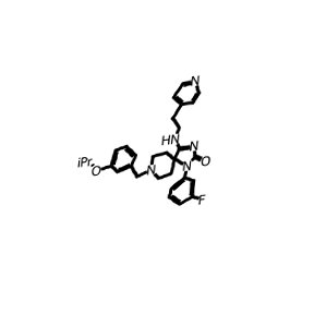 CC(C)Oc1cccc(CN2CCC3(CC2)C(NCCc2ccncc2)=NC(=O)N3c2cccc(F)c2)c1